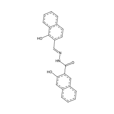 O=C(N/N=C/c1ccc2ccccc2c1O)c1cc2ccccc2cc1O